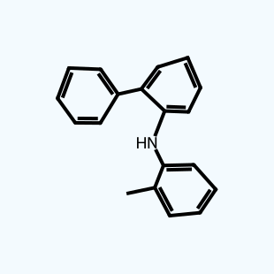 Cc1ccccc1Nc1ccccc1-c1ccccc1